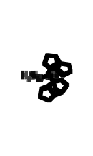 [SiH3]O[SiH](C12CCC(C1)C1CCC=C12)C12CCC(C1)C1CCC=C12